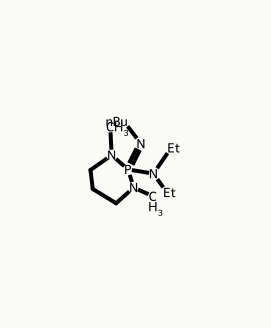 CCCCN=P1(N(CC)CC)N(C)CCCN1C